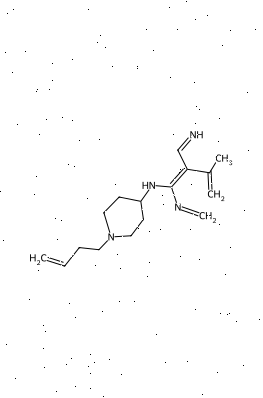 C=CCCN1CCC(N/C(N=C)=C(\C=N)C(=C)C)CC1